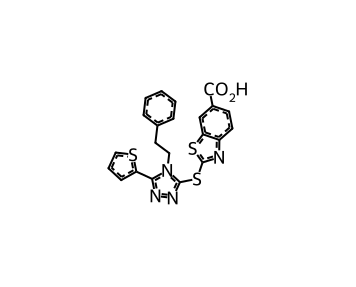 O=C(O)c1ccc2nc(Sc3nnc(-c4cccs4)n3CCc3ccccc3)sc2c1